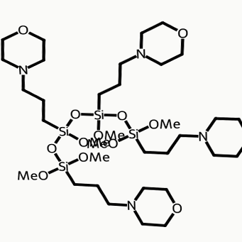 CO[Si](CCCN1CCOCC1)(OC)O[Si](CCCN1CCOCC1)(OC)O[Si](CCCN1CCOCC1)(OC)O[Si](CCCN1CCOCC1)(OC)OC